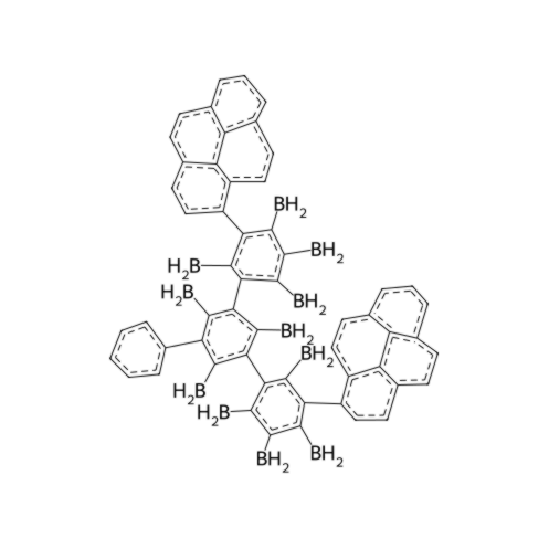 Bc1c(B)c(-c2c(B)c(-c3ccccc3)c(B)c(-c3c(B)c(B)c(B)c(-c4ccc5ccc6cccc7ccc4c5c67)c3B)c2B)c(B)c(-c2ccc3ccc4cccc5ccc2c3c45)c1B